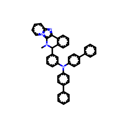 CN1c2c(nc3ccccn23)-c2ccccc2C1c1cccc(N(c2ccc(-c3ccccc3)cc2)c2ccc(-c3ccccc3)cc2)c1